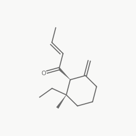 C=C1CCC[C@](C)(CC)[C@H]1C(=O)/C=C/C